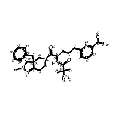 CN1N=C2CCN(C(=O)[C@@H](CCCc3cccc(C(F)F)n3)NC(=O)C(C)(C)N)C[C@@]2(Cc2ccccc2)C1=O